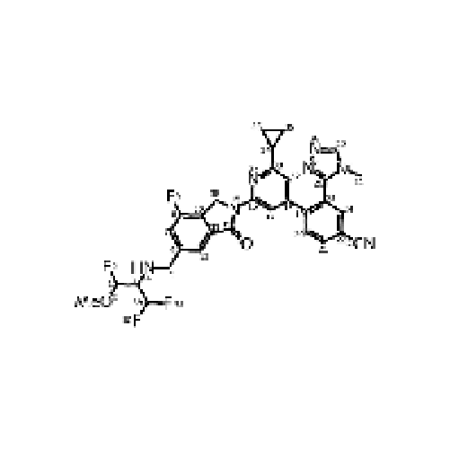 COC(F)C(NCc1cc(F)c2c(c1)C(=O)N(c1cc(-c3ccc(C#N)cc3-c3nncn3C)cc(C3CC3)n1)C2)C(F)F